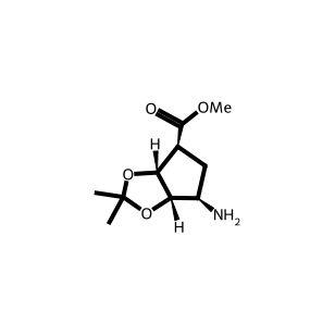 COC(=O)[C@H]1C[C@@H](N)[C@@H]2OC(C)(C)O[C@@H]21